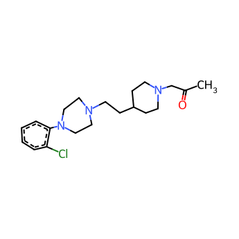 CC(=O)CN1CCC(CCN2CCN(c3ccccc3Cl)CC2)CC1